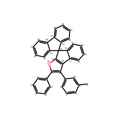 Cc1cccc(-c2c(-c3ccccc3)oc3c2-c2ccccc2C32c3ccccc3-c3ccccc32)c1